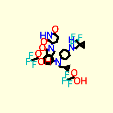 O=C(O)C(F)(F)F.O=C(O)C(F)(F)F.O=C1CCC(N2Cc3c(cccc3N(CC3CC3)C3CCC(NCC4(C(F)(F)F)CC4)CC3)C2=O)C(=O)N1